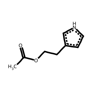 CC(=O)OCCc1cc[nH]c1